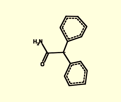 NC(=O)[C](c1ccccc1)c1ccccc1